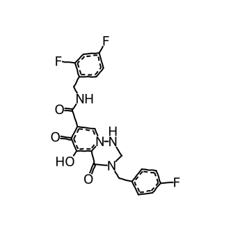 O=C(NCc1ccc(F)cc1F)c1cn2c(c(O)c1=O)C(=O)N(Cc1ccc(F)cc1)CN2